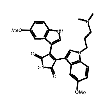 COc1ccc2[nH]cc(C3=C(c4cn(CCCN(C)C)c5ccc(OC)cc45)C(=O)NC3=O)c2c1